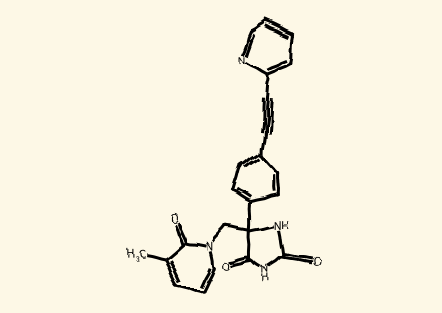 Cc1cccn(CC2(c3ccc(C#Cc4ccccn4)cc3)NC(=O)NC2=O)c1=O